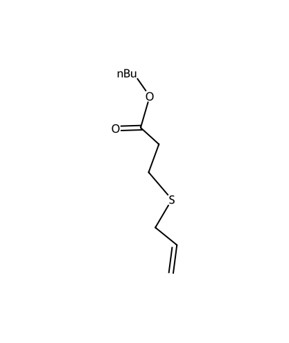 C=CCSCCC(=O)OCCCC